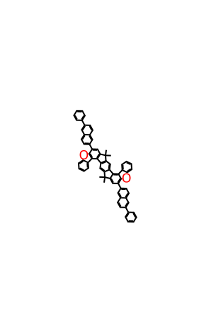 CC1(C)c2cc3c(cc2-c2c1cc(-c1ccc4cc(-c5ccccc5)ccc4c1)c1oc4ccccc4c21)C(C)(C)c1cc(-c2ccc4cc(-c5ccccc5)ccc4c2)c2oc4ccccc4c2c1-3